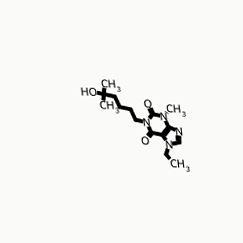 CCn1cnc2c1c(=O)n(CCCCC(C)(C)O)c(=O)n2C